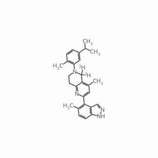 [2H]C1([2H])c2c(C)cc(-c3c(C)ccc4[nH]ncc34)nc2CCN1c1cc(C(C)C)ccc1C